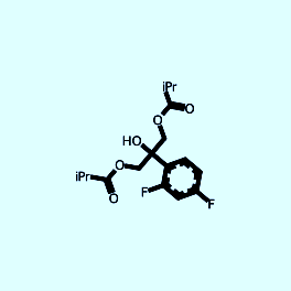 CC(C)C(=O)OCC(O)(COC(=O)C(C)C)c1ccc(F)cc1F